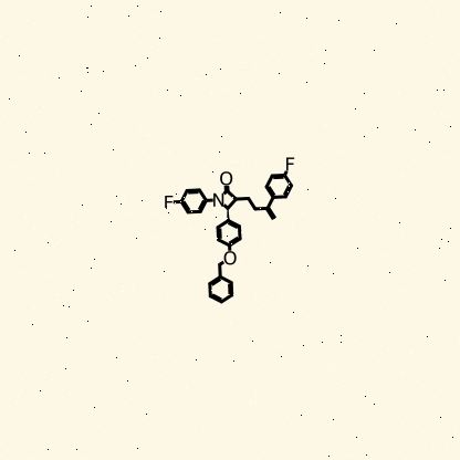 C=C(CCC1C(=O)N(c2ccc(F)cc2)[C@@H]1c1ccc(OCc2ccccc2)cc1)c1ccc(F)cc1